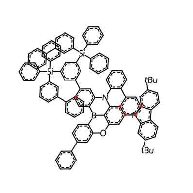 CC(C)(C)c1ccc2c3ccc(C(C)(C)C)cc3n(-c3cc4c5c(c3)N(c3ccccc3-c3ccccc3)c3cc(-c6cc([Si](c7ccccc7)(c7ccccc7)c7cccc(-c8ccccc8)c7)cc([Si](c7ccccc7)(c7ccccc7)c7cccc(-c8ccccc8)c7)c6)ccc3B5c3ccc(-c5ccccc5)cc3O4)c2c1